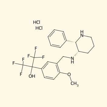 COc1ccc(C(O)(C(F)(F)F)C(F)(F)F)cc1CN[C@H]1CCCN[C@H]1c1ccccc1.Cl.Cl